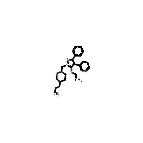 CCCC1CCC(Cn2nc(-c3ccccc3)c(C3=CC=CCC3)c2SCC)CC1